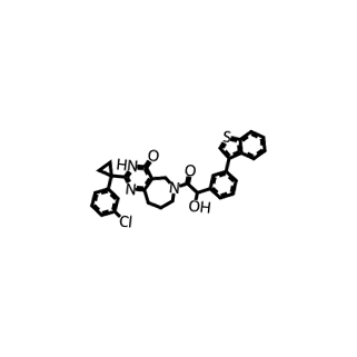 O=C(C(O)c1cccc(-c2csc3ccccc23)c1)N1CCCc2nc(C3(c4cccc(Cl)c4)CC3)[nH]c(=O)c2C1